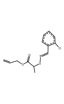 C=CCOC(=O)C(C)ON=Cc1c[c]ccc1Cl